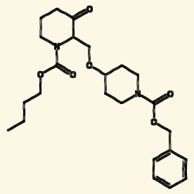 CCCCOC(=O)N1CCCC(=O)C1COC1CCN(C(=O)OCc2ccccc2)CC1